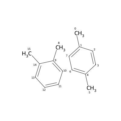 Cc1ccc(C)cc1.Cc1ccccc1C